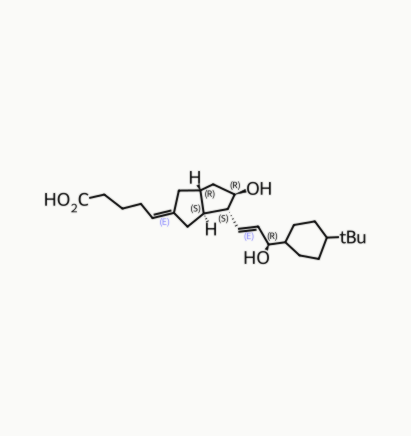 CC(C)(C)C1CCC([C@@H](O)/C=C/[C@@H]2[C@H]3C/C(=C/CCCC(=O)O)C[C@@H]3C[C@H]2O)CC1